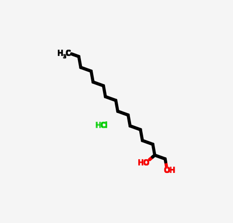 CCCCCCCCCCCCCCC(O)CO.Cl